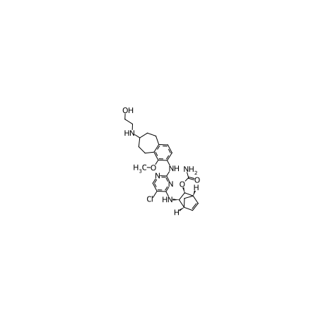 COc1c(Nc2ncc(Cl)c(N[C@H]3[C@@H](OC(N)=O)[C@@H]4C=C[C@H]3C4)n2)ccc2c1CCC(NCCO)CC2